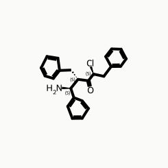 N[C@H](c1ccccc1)[C@H](Cc1ccccc1)C(=O)[C@@H](Cl)Cc1ccccc1